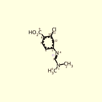 CN(C)/C=N/c1ccc(C(=O)O)c(Cl)c1